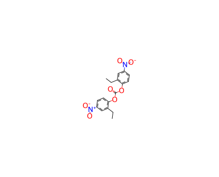 CCc1cc([N+](=O)[O-])ccc1OC(=O)Oc1ccc([N+](=O)[O-])cc1CC